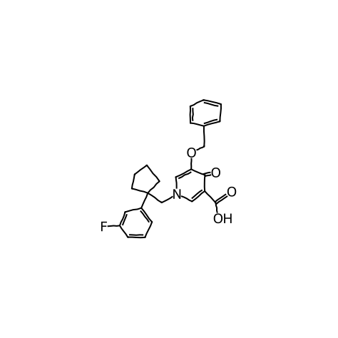 O=C(O)c1cn(CC2(c3cccc(F)c3)CCCC2)cc(OCc2ccccc2)c1=O